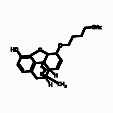 CC(=O)OCCCCOC1C=C[C@H]2[C@H]3Cc4ccc(O)c5c4[C@@]2(CCN3C)C1O5